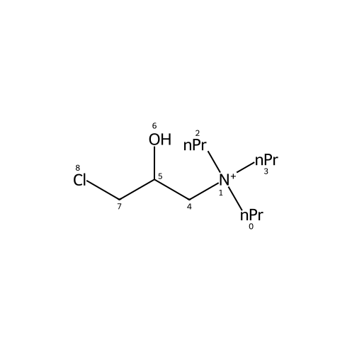 CCC[N+](CCC)(CCC)CC(O)CCl